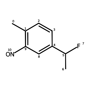 Cc1ccc(C(C)F)cc1N=O